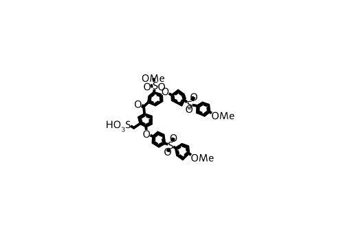 COc1ccc(S(=O)(=O)c2ccc(Oc3ccc(C(=O)c4ccc(Oc5ccc(S(=O)(=O)c6ccc(OC)cc6)cc5)c(S(=O)(=O)OC)c4)cc3CS(=O)(=O)O)cc2)cc1